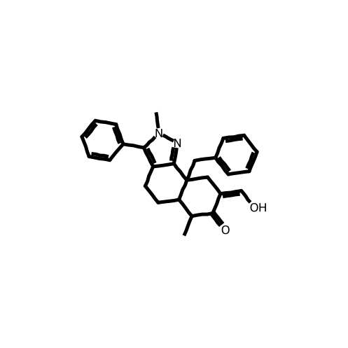 CC1C(=O)C(=CO)CC2(Cc3ccccc3)c3nn(C)c(-c4ccccc4)c3CCC12